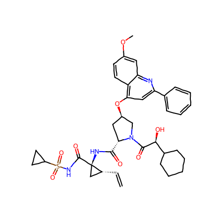 C=C[C@@H]1C[C@]1(NC(=O)[C@@H]1C[C@@H](Oc2cc(-c3ccccc3)nc3cc(OC)ccc23)CN1C(=O)[C@@H](O)C1CCCCC1)C(=O)NS(=O)(=O)C1CC1